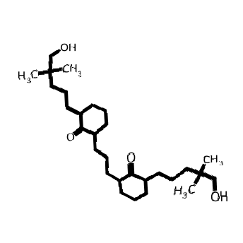 CC(C)(CO)CCCC1CCCC(CCCC2CCCC(CCCC(C)(C)CO)C2=O)C1=O